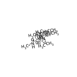 C=CCNC(=O)C(=O)C(CC(C)(C)C)NC(=O)[C@@H]1C2C(CN1C(=O)[C@@H](NC(=O)CC(C)(C)C)C(C)(C)C)C2(C)C